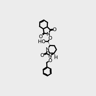 O=C1C2CC=CCC2C(=O)N1OC(O)[C@@H]1CC[C@@H]2CN1C(=O)N2OCc1ccccc1